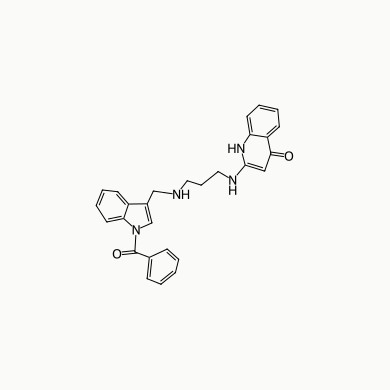 O=C(c1ccccc1)n1cc(CNCCCNc2cc(=O)c3ccccc3[nH]2)c2ccccc21